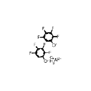 [CH3][Al+2].[O-]c1cc(F)c(F)c(F)c1F.[O-]c1cc(F)c(F)c(F)c1F